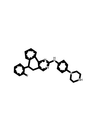 Fc1ccccc1C1Cc2cnc(Nc3ccc(N4CCNCC4)cc3)nc2-c2ccccc21